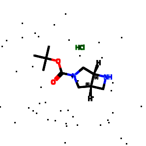 CC(C)(C)OC(=O)N1C[C@H]2CN[C@H]2C1.Cl